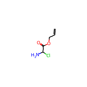 C=CCOC(=O)C(N)Cl